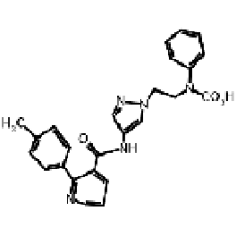 Cc1ccc(-c2ncccc2C(=O)Nc2cnn(CCN(C(=O)O)c3ccccc3)c2)cc1